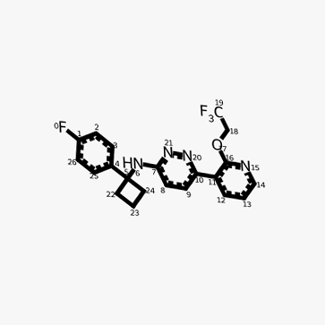 Fc1ccc(C2(Nc3ccc(-c4cccnc4OCC(F)(F)F)nn3)CCC2)cc1